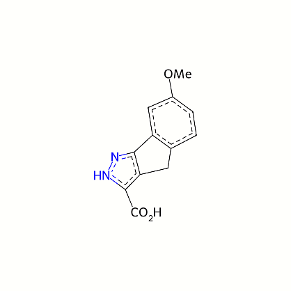 COc1ccc2c(c1)-c1n[nH]c(C(=O)O)c1C2